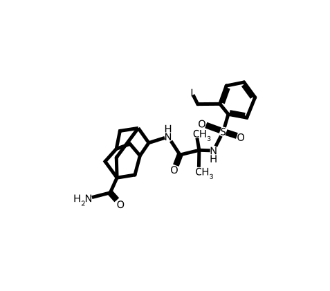 CC(C)(NS(=O)(=O)c1ccccc1CI)C(=O)NC1C2CC3CC1CC(C(N)=O)(C3)C2